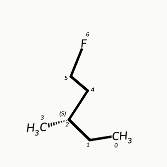 CC[C@H](C)CCF